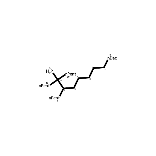 CCCCCCCCCCCCCCCC(CCCCC)C(P)(CCCCC)CCCCC